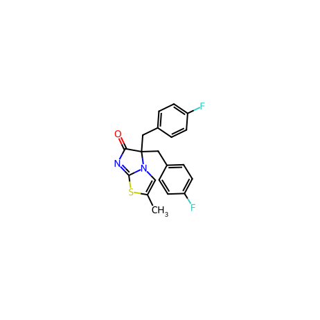 CC1=CN2C(=NC(=O)C2(Cc2ccc(F)cc2)Cc2ccc(F)cc2)S1